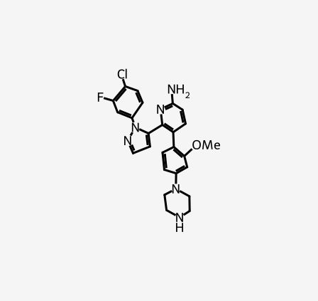 COc1cc(N2CCNCC2)ccc1-c1ccc(N)nc1-c1ccnn1-c1ccc(Cl)c(F)c1